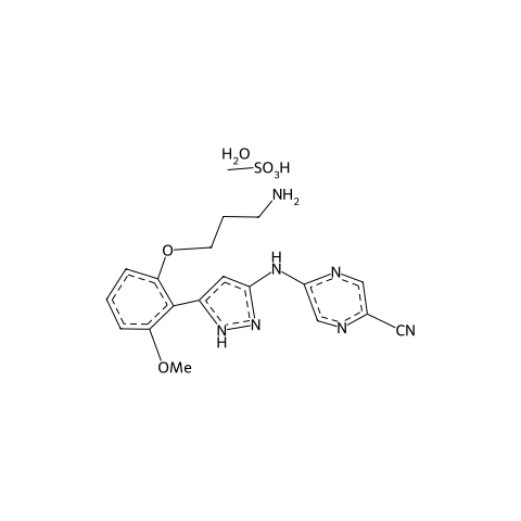 COc1cccc(OCCCN)c1-c1cc(Nc2cnc(C#N)cn2)n[nH]1.CS(=O)(=O)O.O